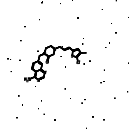 Cc1cc(C=CCN2CCN(Cc3ccc4c(N)ncnc4c3)C(=O)C2)sc1Cl